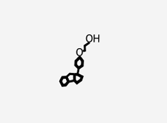 OCCCOc1ccc(-c2cccc3c2Cc2ccccc2-3)cc1